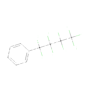 ClC(Cl)(Cl)C(Cl)(Cl)C(Cl)(Cl)C(Cl)(Cl)c1c[c]ccc1